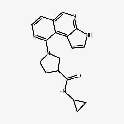 O=C(NC1CC1)C1CCN(c2nccc3cnc4[nH]ccc4c23)C1